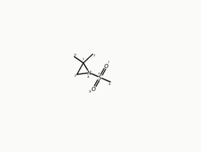 CC1(C)CN1S(C)(=O)=O